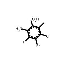 Cc1c(Cl)c(Br)c(F)c(N)c1C(=O)O